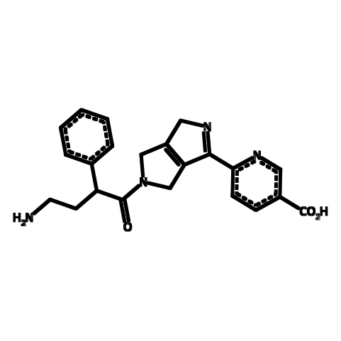 NCCC(C(=O)N1CC2=C(C1)C(c1ccc(C(=O)O)cn1)=NC2)c1ccccc1